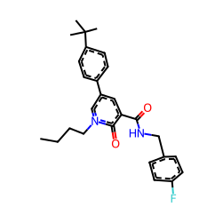 CCCCn1cc(-c2ccc(C(C)(C)C)cc2)cc(C(=O)NCc2ccc(F)cc2)c1=O